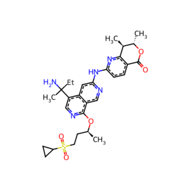 CCC(C)(N)c1cnc(O[C@@H](C)CCS(=O)(=O)C2CC2)c2cnc(Nc3ccc4c(n3)[C@@H](C)[C@H](C)OC4=O)cc12